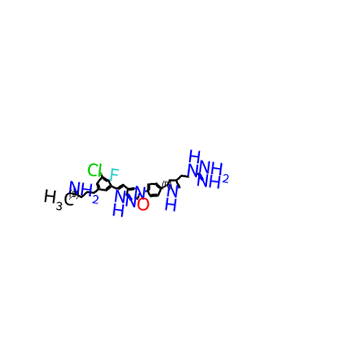 C[C@H](N)CCCc1cc(Cl)c(F)c(-c2cc3cn(-c4ccc([C@H]5CC(CCNC(=N)N)CN5)cc4)c(=O)nc3[nH]2)c1